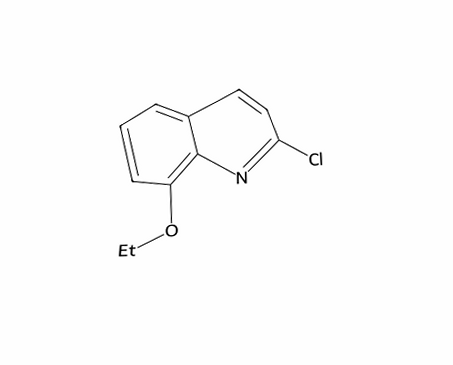 CCOc1cccc2ccc(Cl)nc12